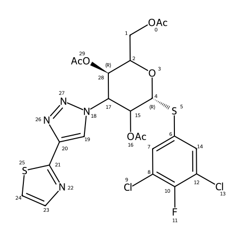 CC(=O)OCC1O[C@H](Sc2cc(Cl)c(F)c(Cl)c2)C(OC(C)=O)C(n2cc(-c3nccs3)nn2)[C@H]1OC(C)=O